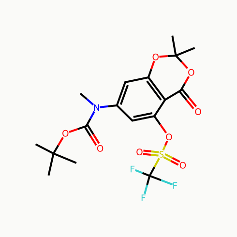 CN(C(=O)OC(C)(C)C)c1cc2c(c(OS(=O)(=O)C(F)(F)F)c1)C(=O)OC(C)(C)O2